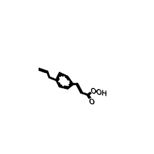 C=CCc1ccc(C=CC(=O)OO)cc1